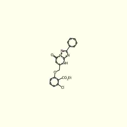 CCOC(=O)c1c(Cl)cccc1OCc1cc(=O)n2nc(-c3ccccc3)nc2[nH]1